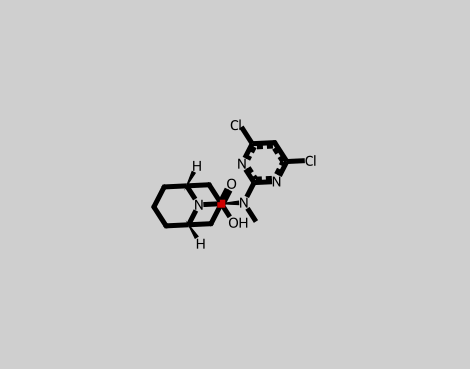 CN(c1nc(Cl)cc(Cl)n1)[C@@H]1C[C@H]2CCC[C@@H](C1)N2C(=O)O